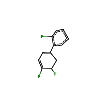 FC1=CC=C(c2ccccc2F)CC1F